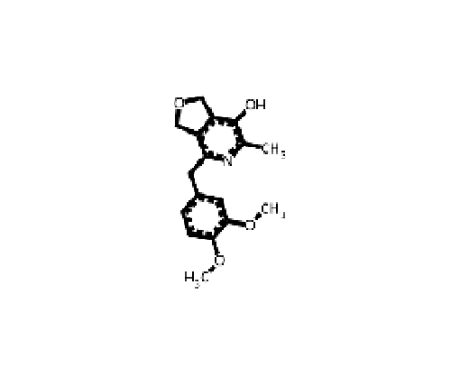 COc1ccc(Cc2nc(C)c(O)c3c2COC3)cc1OC